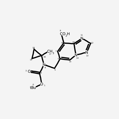 CC(C)(C)OC(=O)N(Cc1cc(C(=O)O)c2ncnn2c1)C1(C)CC1